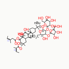 C/C=C(/C)CC(=O)O[C@H]1[C@H](OC(=O)/C(C)=C\C)C(C)(C)CC2C3=CCC4CC(C(C)(C)[C@H](CCCC)O[C@@H]5OC(C(=O)O)[C@@H](O)C(O[C@@H]6O[C@@H](CO)C(O)C6O)C5O[C@@H]5OC(CO)[C@H](O)C(O)C5O)CC[C@@]4(C)[C@]3(C)[C@@H](O)[C@@H](O)[C@]21CO